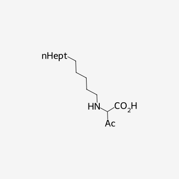 CCCCCCCCCCCCNC(C(C)=O)C(=O)O